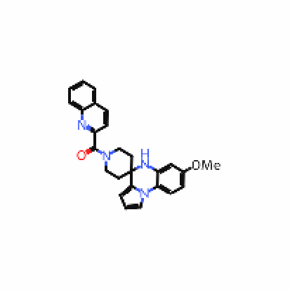 COc1ccc2c(c1)NC1(CCN(C(=O)c3ccc4ccccc4n3)CC1)c1cccn1-2